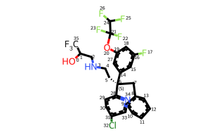 OC(CNCC[C@@](Cc1ccccc1)(c1cc(F)cc(OC(F)(F)C(F)F)c1)c1ccc(Cl)cn1)C(F)(F)F